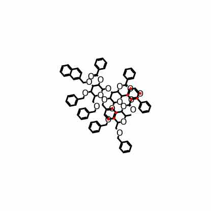 CC1OC(COCc2ccccc2)C(OCc2ccccc2)C(OC2OC(COC(=O)c3ccccc3)C(OC(=O)c3ccccc3)C(OC3OC(COCc4ccccc4)C(OCc4ccccc4)C(OCc4ccc5ccccc5c4)C3OC(=O)c3ccccc3)C2OCc2ccccc2)C1OC(=O)c1ccccc1